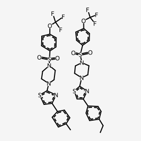 CCc1ccc(-c2csc(N3CCN(S(=O)(=O)c4ccc(OC(F)(F)F)cc4)CC3)n2)cc1.Cc1ccc(-c2csc(N3CCN(S(=O)(=O)c4ccc(OC(F)(F)F)cc4)CC3)n2)cc1